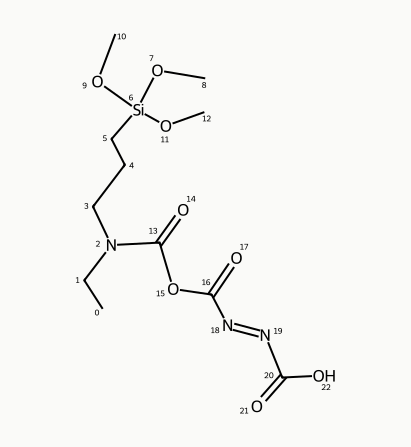 CCN(CCC[Si](OC)(OC)OC)C(=O)OC(=O)N=NC(=O)O